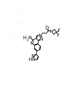 Nc1nc2cc(-c3cc[nH]n3)ccc2c2nn(CCC(=O)N3CC(F)(F)C3)cc12